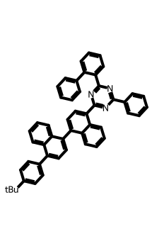 CC(C)(C)c1ccc(-c2ccc(-c3ccc(-c4nc(-c5ccccc5)nc(-c5ccccc5-c5ccccc5)n4)c4ccccc34)c3ccccc23)cc1